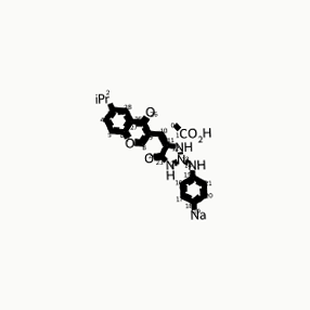 CC(=O)O.CC(C)c1ccc2occ(C=C3NN(Nc4cc[c]([Na])cc4)NC3=O)c(=O)c2c1